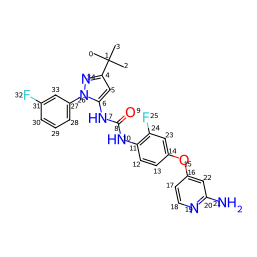 CC(C)(C)c1cc(NC(=O)Nc2ccc(Oc3ccnc(N)c3)cc2F)n(-c2cccc(F)c2)n1